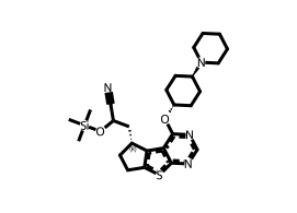 C[Si](C)(C)OC(C#N)C[C@H]1CCc2sc3ncnc(O[C@H]4CC[C@H](N5CCCCC5)CC4)c3c21